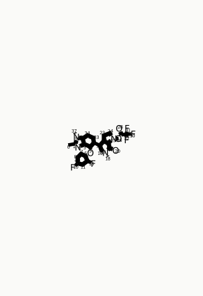 Cc1nc2c(Oc3ccc(F)cc3F)c(-c3cn(C)c(=O)c4c3ccn4OC(=O)C(F)(F)F)ccc2n1C